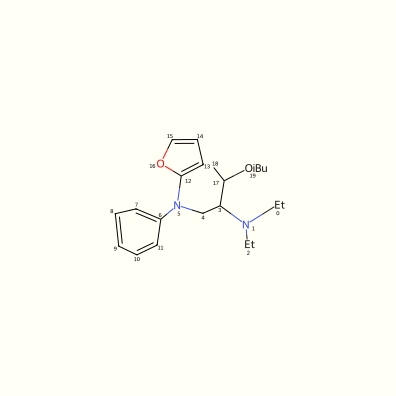 CCN(CC)C(CN(c1ccccc1)c1ccco1)C(C)OCC(C)C